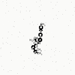 Cc1c(-c2cc(C(=O)Nc3nc4ccc(N5CCC(N6CC7(CCN(C)CC7)C6)CC5)cc4n3CC(C)(C)O)ccn2)cnn1C